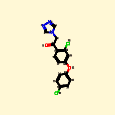 O=C(Cn1cnnc1)c1ccc(Oc2ccc(Cl)cc2)cc1Cl